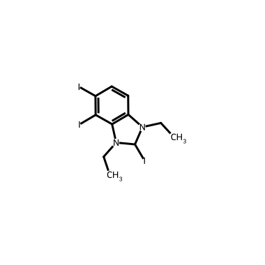 CCN1c2ccc(I)c(I)c2N(CC)C1I